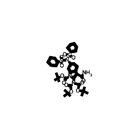 CC(C)(C)OC(=O)N(C(=O)OC(C)(C)C)c1c(C(N)=O)c2ccc(N(S(=O)(=O)c3ccccc3)S(=O)(=O)c3ccccc3)cc2n1C(=O)OC(C)(C)C